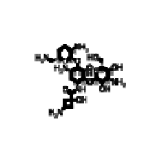 NC[C@@H]1CC[C@@H](N)[C@@H](OC2[C@@H](N)C[C@@H](NC(=O)C3(O)CC(N)C3)[C@H](O[C@H]3O[C@H](CO)[C@@H](O)[C@H](N)[C@H]3O)[C@H]2O)O1